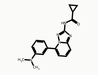 CN(C)c1cccc(-c2cccc3nc(NC(=O)C4CC4)nn23)c1